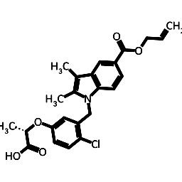 C=CCOC(=O)c1ccc2c(c1)c(C)c(C)n2Cc1cc(O[C@@H](C)C(=O)O)ccc1Cl